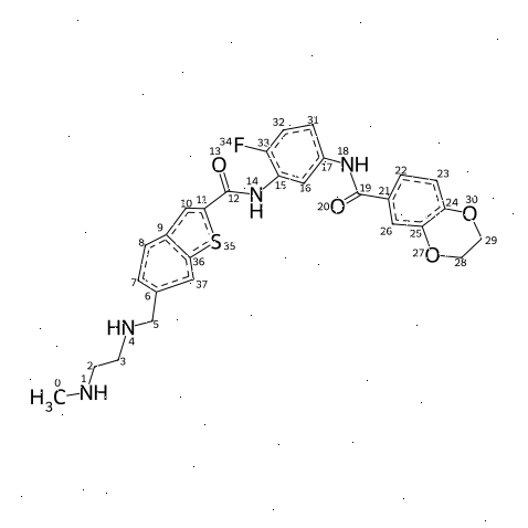 CNCCNCc1ccc2cc(C(=O)Nc3cc(NC(=O)c4ccc5c(c4)OCCO5)ccc3F)sc2c1